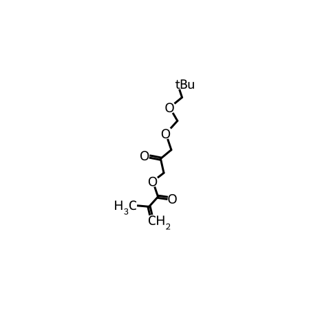 C=C(C)C(=O)OCC(=O)COCOCC(C)(C)C